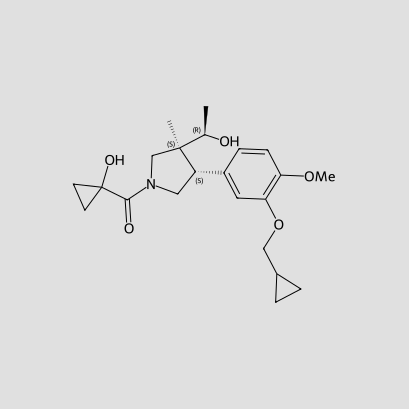 COc1ccc([C@@H]2CN(C(=O)C3(O)CC3)C[C@@]2(C)[C@@H](C)O)cc1OCC1CC1